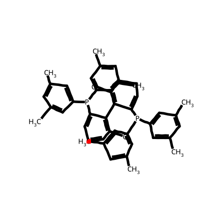 Cc1cc(C)cc(P(c2cc(C)cc(C)c2)c2cccc(Cl)c2-c2c(Cl)cccc2P(c2cc(C)cc(C)c2)c2cc(C)cc(C)c2)c1